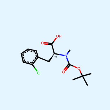 CN(C(=O)OC(C)(C)C)[C@@H](Cc1ccccc1Cl)C(=O)O